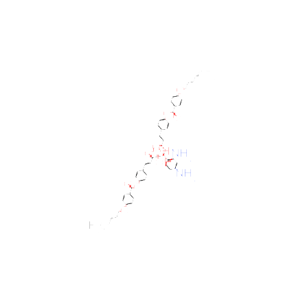 Nc1ccc(C(CC(=O)/C=C/c2ccc(OC(=O)c3ccc(OCCCCC(F)(F)F)cc3)cc2)C(O)(O)C(=O)/C=C/c2ccc(OC(=O)c3ccc(OCCCCC(F)(F)F)cc3)cc2)c(N)c1